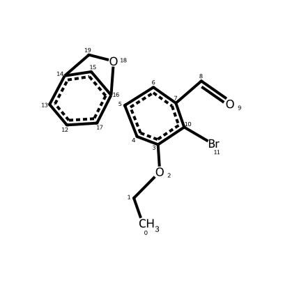 CCOc1cccc(C=O)c1Br.c1cc2cc(c1)OC2